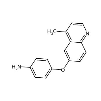 Cc1ccnc2ccc(Oc3ccc(N)cc3)cc12